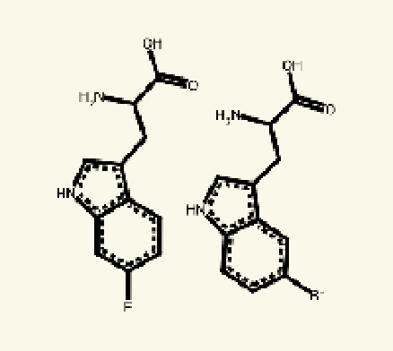 NC(Cc1c[nH]c2cc(F)ccc12)C(=O)O.NC(Cc1c[nH]c2ccc(Br)cc12)C(=O)O